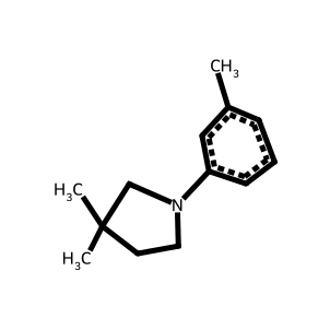 Cc1cccc(N2CCC(C)(C)C2)c1